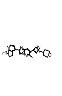 Cc1nn2cc(-c3ccnc4c3CCN4)nc2cc1-c1cnn(C2CCOCC2)c1